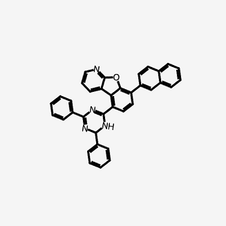 c1ccc(C2=NC(c3ccccc3)NC(c3ccc(-c4ccc5ccccc5c4)c4oc5ncccc5c34)=N2)cc1